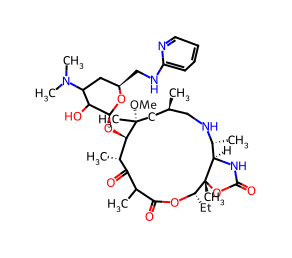 CC[C@@H]1OC(=O)C(C)C(=O)[C@H](C)[C@@H](O[C@@H]2O[C@H](CNc3ccccn3)CC(N(C)C)C2O)[C@](C)(OC)C[C@@H](C)CN[C@H](C)[C@H]2NC(=O)O[C@]12C